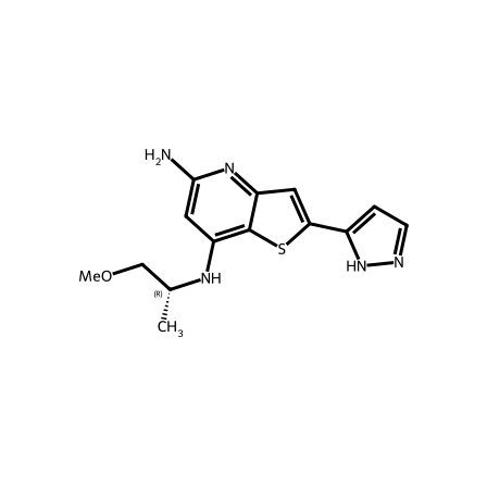 COC[C@@H](C)Nc1cc(N)nc2cc(-c3ccn[nH]3)sc12